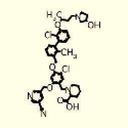 Cc1c(COc2cc(OCc3cncc(C#N)c3)c(CN3CCCCC3C(=O)O)cc2Cl)cccc1-c1cccc(O[C@H](C)CCN2CC[C@@H](O)C2)c1Cl